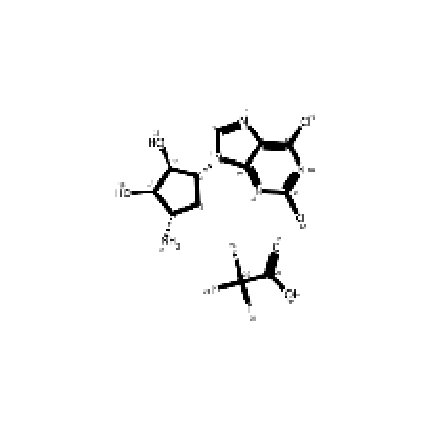 N[C@H]1C[C@@H](n2cnc3c(Cl)nc(Cl)nc32)[C@H](O)[C@@H]1O.O=C(O)C(F)(F)F